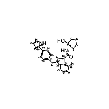 O=C(N[C@H]1CCCC[C@@H]1O)c1cn(Cc2ccc(-c3ccn[nH]3)cc2)c2cccc(F)c12